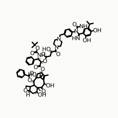 CC1=C2[C@@H](O)C(=O)[C@@]3(C)C(C4CO[C@@H]4C[C@@H]3O)[C@H](OC(=O)c3ccccc3)C(O)(C[C@@H]1OC(=O)[C@H](OC(=O)C[C@@H](O)C(=O)N1CCN(Cc3ccc(N(C(=N)c4cc(C(C)C)c(O)cc4O)C(N)=O)cc3)CC1)[C@@H](NC(=O)OC(C)(C)C)c1ccccc1)C2(C)C